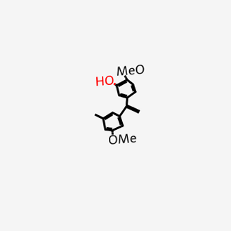 C=C(c1cc(C)cc(OC)c1)c1ccc(OC)c(O)c1